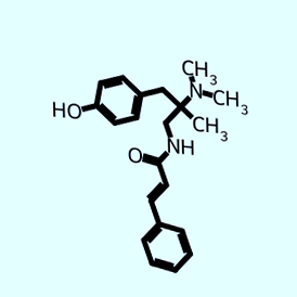 CN(C)C(C)(CNC(=O)/C=C/c1ccccc1)Cc1ccc(O)cc1